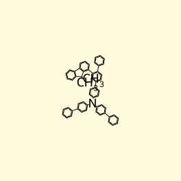 CC1(C)c2ccccc2-c2cccc(-c3cc(-c4ccc(N(c5ccc(-c6ccccc6)cc5)c5ccc(-c6ccccc6)cc5)cc4)ccc3-c3ccccc3)c21